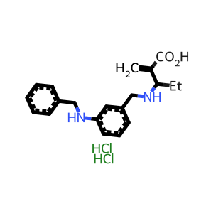 C=C(C(=O)O)C(CC)NCc1cccc(NCc2ccccc2)c1.Cl.Cl